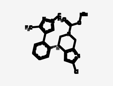 CCCCOC(=O)N1Cc2sc(Cl)cc2[C@H](c2ccccc2-c2cn(C)nc2C(F)(F)F)C1